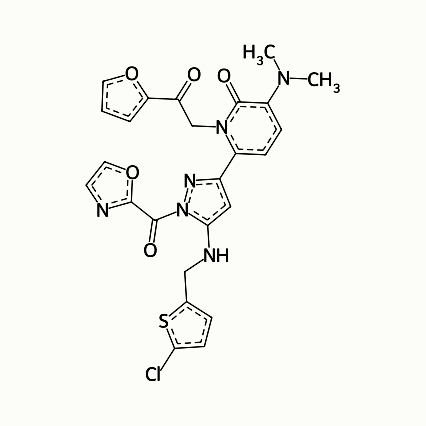 CN(C)c1ccc(-c2cc(NCc3ccc(Cl)s3)n(C(=O)c3ncco3)n2)n(CC(=O)c2ccco2)c1=O